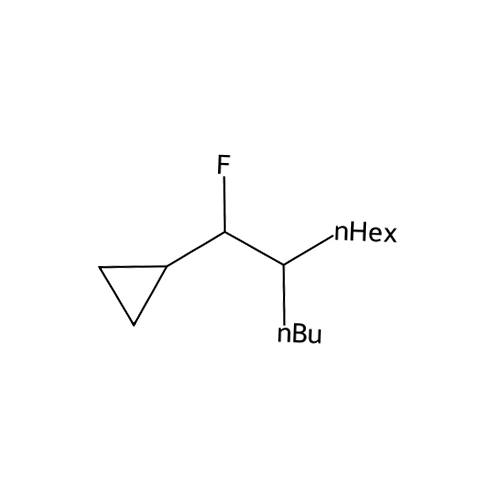 CCCCCCC(CCCC)C(F)C1CC1